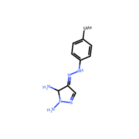 CSc1ccc(NN=C2C=NN(N)C2N)cc1